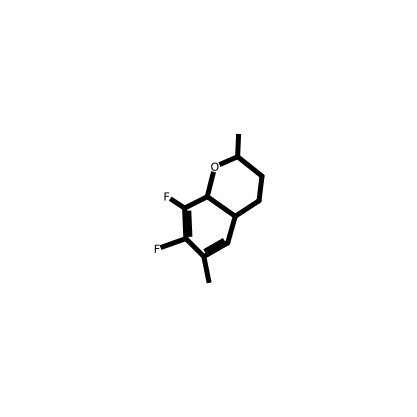 CC1=CC2CCC(C)OC2C(F)=C1F